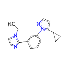 N#CCn1ccnc1-c1cccc(-n2nccc2C2CC2)c1